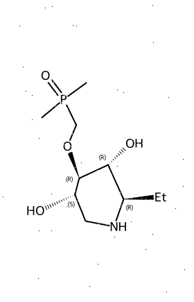 CC[C@H]1NC[C@H](O)[C@@H](OCP(C)(C)=O)[C@@H]1O